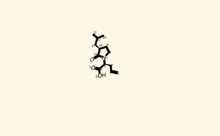 C=CC[C@@H](C(=O)O)N1CC[C@H](CC(C)C)C1=O